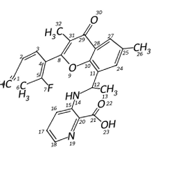 C#C/C=C\C(=C(/C)F)c1oc2c(C(C)Nc3cccnc3C(=O)O)cc(C)cc2c(=O)c1C